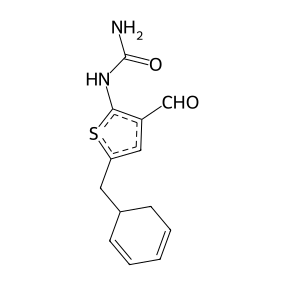 NC(=O)Nc1sc(CC2C=CC=CC2)cc1C=O